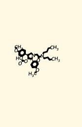 CCCCN(CCCC)C(=O)CN1C[C@H](c2ccc(OC)cc2)[C@H](OC(=O)O)[C@H]1c1ccc(OC)cc1